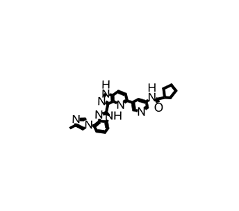 Cc1cn(-c2cccc3[nH]c(-c4n[nH]c5ccc(-c6cncc(NC(=O)C7CCCC7)c6)nc45)nc23)cn1